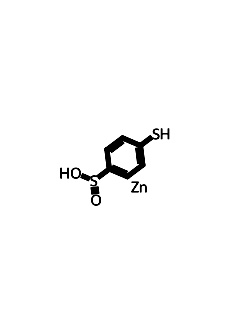 O=S(O)c1ccc(S)cc1.[Zn]